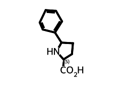 O=C(O)[C@@H]1CCC(c2ccccc2)N1